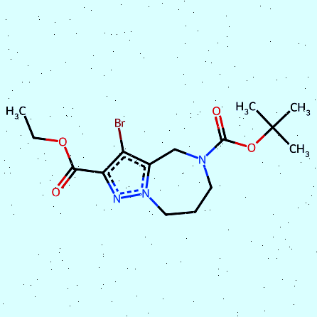 CCOC(=O)c1nn2c(c1Br)CN(C(=O)OC(C)(C)C)CCC2